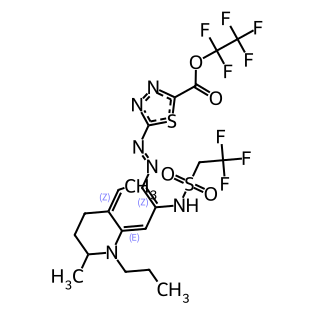 C/C=C1/CCC(C)N(CCC)/C1=C/C(=C/N=Nc1nnc(C(=O)OC(F)(F)C(F)(F)F)s1)NS(=O)(=O)CC(F)(F)F